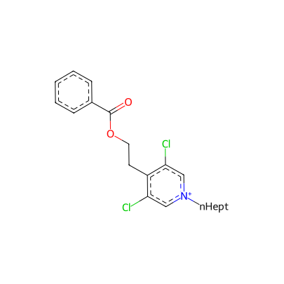 CCCCCCC[n+]1cc(Cl)c(CCOC(=O)c2ccccc2)c(Cl)c1